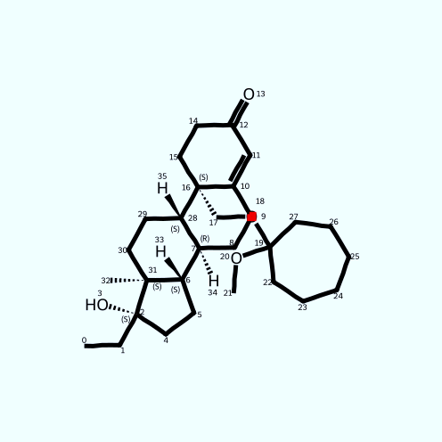 CC[C@]1(O)CC[C@H]2[C@@H]3CCC4=CC(=O)CC[C@]4(COC4(OC)CCCCCC4)[C@H]3CC[C@@]21C